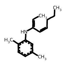 C/C=C(\C=C/CCC)Nc1cc(C)ccc1C